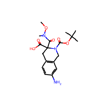 CON(C)C(=O)C1(C(=O)O)Cc2ccc(N)cc2CN1C(=O)OC(C)(C)C